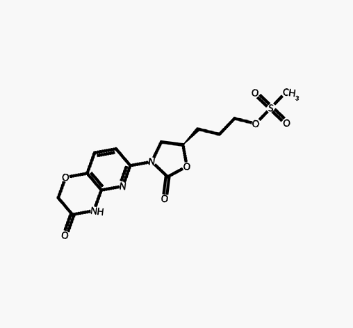 CS(=O)(=O)OCCC[C@@H]1CN(c2ccc3c(n2)NC(=O)CO3)C(=O)O1